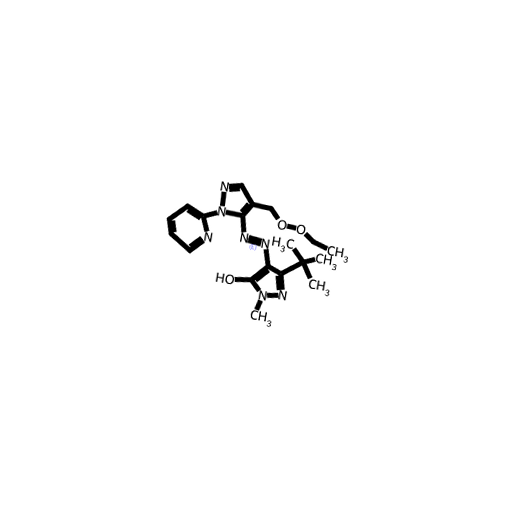 CCOOCc1cnn(-c2ccccn2)c1/N=N/c1c(C(C)(C)C)nn(C)c1O